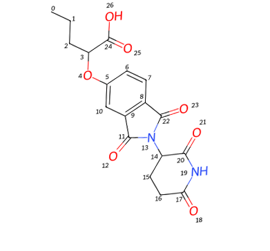 CCCC(Oc1ccc2c(c1)C(=O)N(C1CCC(=O)NC1=O)C2=O)C(=O)O